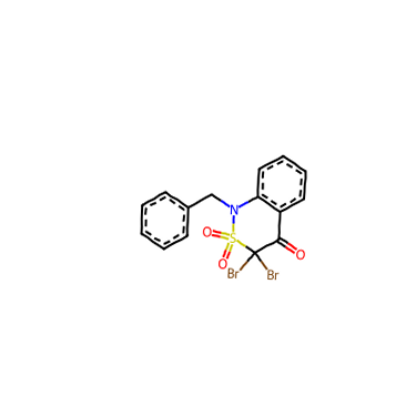 O=C1c2ccccc2N(Cc2ccccc2)S(=O)(=O)C1(Br)Br